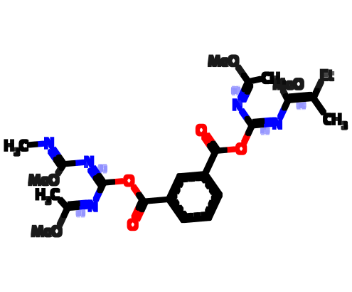 CC/C(C)=C(/N=C(\N=C(/C)OC)OC(=O)c1cccc(C(=O)OC(/N=C(\C)OC)=N/C(=NC)OC)c1)OC